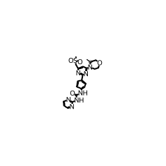 C[C@H]1COCCN1c1cc(CS(C)(=O)=O)nc(-c2ccc(NC(=O)Nc3ncccn3)cc2)n1